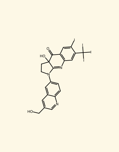 O=C1c2cc(I)c(C(I)(I)I)cc2N=C2N(c3ccc4ncc(CO)cc4c3)CCC12O